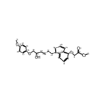 COC(=O)COc1cccc2c(CCSCC(O)COc3ccc(OC)cc3)cccc12